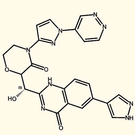 O=C1C([C@@H](O)c2nc(=O)c3cc(-c4cn[nH]c4)ccc3[nH]2)OCCN1c1ccn(-c2ccnnc2)n1